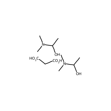 CC(O)N(C)C.CC(O)N(C)C.O=C(O)CC(=O)O